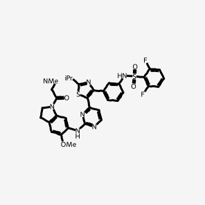 CNCC(=O)N1CCc2cc(OC)c(Nc3nccc(-c4sc(C(C)C)nc4-c4cccc(NS(=O)(=O)c5c(F)cccc5F)c4)n3)cc21